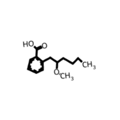 CCCCC(Cc1ccccc1C(=O)O)OC